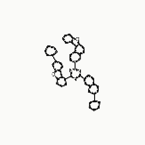 c1ccc(-c2ccc3ccc(-c4nc(-c5ccc6c(ccc7oc8ccccc8c76)c5)nc(-c5cccc6oc7cc(-c8ccccc8)ccc7c56)n4)cc3c2)cc1